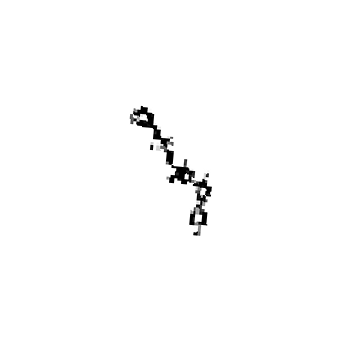 CN1CCN(c2ncc(F)c(N3C[C@@H]4[C@@H](CCNC(=O)/C=C/c5cccnc5)[C@@H]4C3)n2)CC1